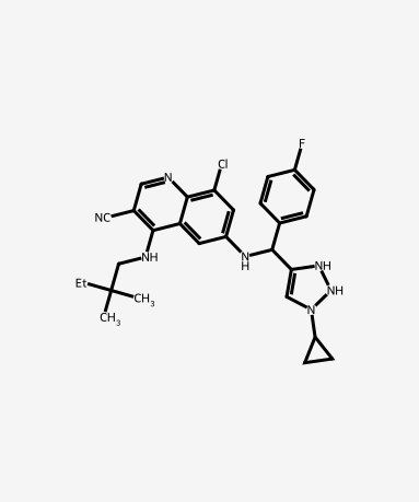 CCC(C)(C)CNc1c(C#N)cnc2c(Cl)cc(NC(C3=CN(C4CC4)NN3)c3ccc(F)cc3)cc12